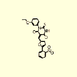 CCOc1cccc(N2C(=O)C(=Cc3ccc(-c4ccccc4[N+](=O)[O-])o3)C(=O)NC2=S)c1